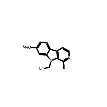 COc1ccc2c3ccnc(C)c3n(CC#N)c2c1